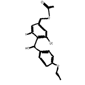 CCOc1ccc(C(O)c2c(O)cc(COC(C)=O)cc2F)cc1